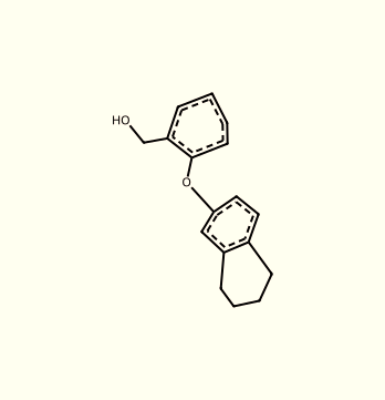 OCc1ccccc1Oc1ccc2c(c1)CCCC2